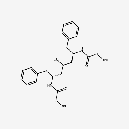 CCN(C[C@@H](Cc1ccccc1)NC(=O)OC(C)(C)C)C[C@@H](Cc1ccccc1)NC(=O)OC(C)(C)C